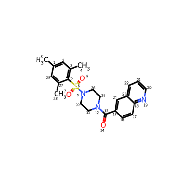 Cc1cc(C)c(S(=O)(=O)N2CCN(C(=O)c3ccc4ncccc4c3)CC2)c(C)c1